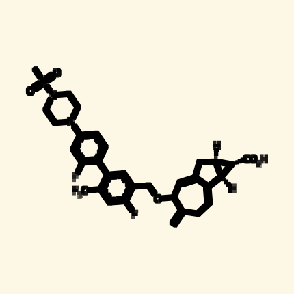 C=C1CC=C2C(=CC1OCc1cc(-c3ccc(N4CCN(S(C)(=O)=O)CC4)cc3F)c(C(F)(F)F)cc1F)C[C@H]1[C@H](C(=O)O)[C@@H]21